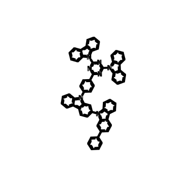 c1ccc(-c2ccc3c4ccccc4n(-c4ccc5c6ccccc6n(-c6ccc(-c7nc(-n8c9ccccc9c9ccccc98)nc(-n8c9ccccc9c9ccccc98)n7)cc6)c5c4)c3c2)cc1